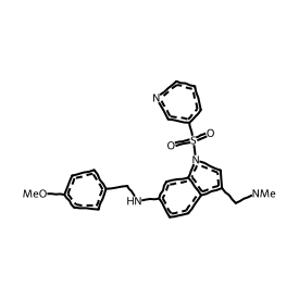 CNCc1cn(S(=O)(=O)c2cccnc2)c2cc(NCc3ccc(OC)cc3)ccc12